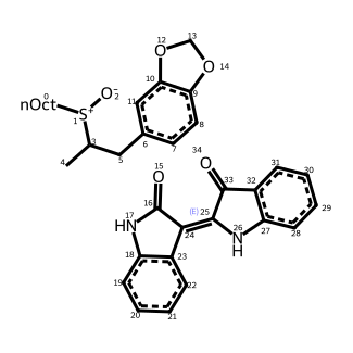 CCCCCCCC[S+]([O-])C(C)Cc1ccc2c(c1)OCO2.O=C1Nc2ccccc2/C1=C1\Nc2ccccc2C1=O